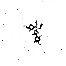 C#CCN(c1nc(-c2cc(C)c(OC)cc2Cl)c(C)s1)[C@@H](CCC)c1ccc(COC)c(F)c1